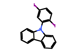 Ic1ccc(I)c(-n2c3ccccc3c3ccccc32)c1